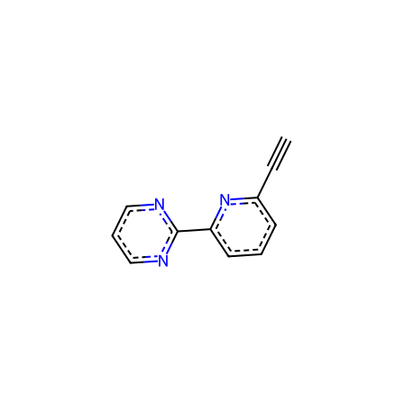 C#Cc1cccc(-c2ncccn2)n1